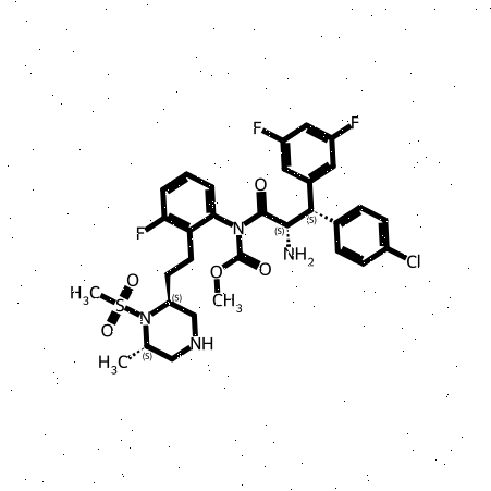 COC(=O)N(C(=O)[C@@H](N)[C@@H](c1ccc(Cl)cc1)c1cc(F)cc(F)c1)c1cccc(F)c1CC[C@H]1CNC[C@H](C)N1S(C)(=O)=O